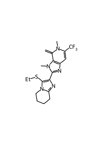 C=C1c2c(nc(-c3nc4n(c3SCC)CCCC4)n2C)C=C(C(F)(F)F)N1C